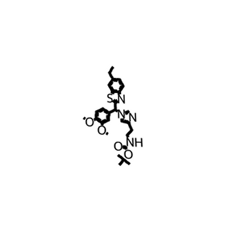 CCc1ccc2nc(C(c3ccc(OC)c(OC)c3)n3cnc(CCNC(=O)OC(C)(C)C)c3)sc2c1